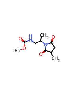 CC1CC(=O)N(C(C)CNC(=O)OC(C)(C)C)C1=O